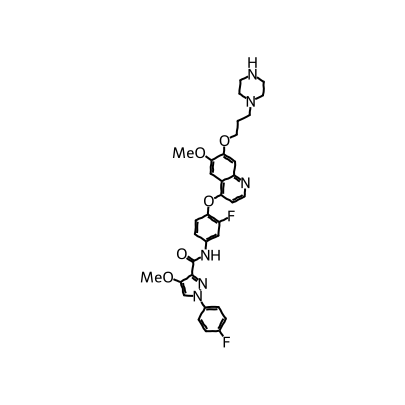 COc1cc2c(Oc3ccc(NC(=O)c4nn(-c5ccc(F)cc5)cc4OC)cc3F)ccnc2cc1OCCCN1CCNCC1